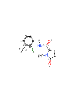 CC(C)N1C(=O)CCC1C(=O)NCc1cccc(C(F)(F)F)c1Cl